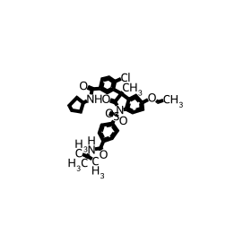 CCOc1ccc2c(c1)C(C)(c1cc(C(=O)NC3CCCC3)ccc1Cl)C(=O)N2S(=O)(=O)c1ccc(C(=O)NC(C)(C)C)cc1